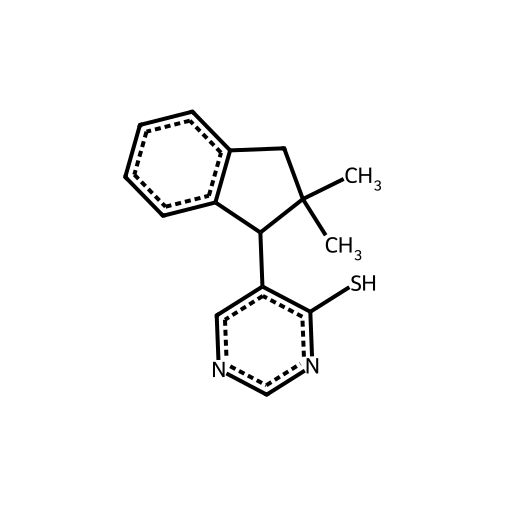 CC1(C)Cc2ccccc2C1c1cncnc1S